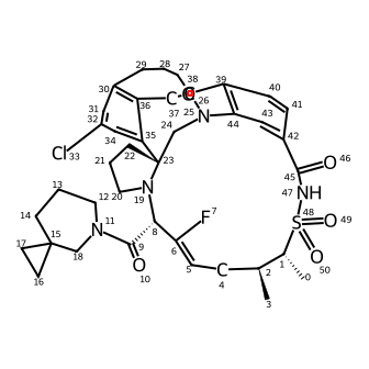 C[C@@H]1[C@@H](C)C/C=C(\F)[C@H](C(=O)N2CCCC3(CC3)C2)N2CCC[C@@]23CN2CCCCc4cc(Cl)cc3c4COc3ccc(cc32)C(=O)NS1(=O)=O